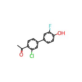 CC(=O)c1ccc(-c2ccc(O)c(F)c2)cc1Cl